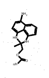 CCCC(=O)OCC1(C)Nc2cccc3c(N)ccc(c23)N1